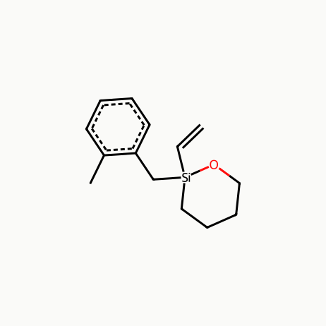 C=C[Si]1(Cc2ccccc2C)CCCCO1